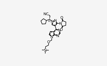 C[Si](C)(C)CCOCn1ccc2c(-c3cn([C@H](CC#N)C4CCCC4)nc3N3C(=O)CCC3=O)ncnc21